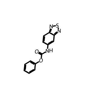 O=C(Nc1ccc2nsnc2c1)Oc1ccccc1